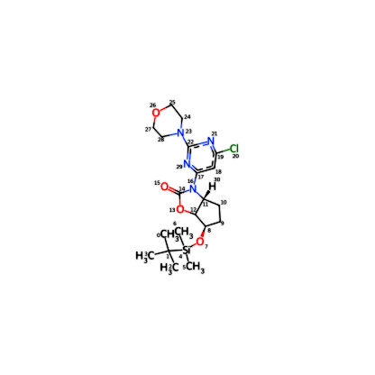 CC(C)(C)[Si](C)(C)O[C@@H]1CC[C@@H]2C1OC(=O)N2c1cc(Cl)nc(N2CCOCC2)n1